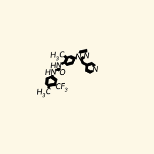 Cc1cc(-n2ccnc2Cc2ccncc2)ccc1NC(=O)Nc1ccc(C)c(C(F)(F)F)c1